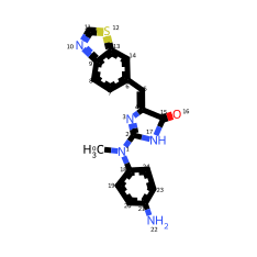 CN(C1=NC(=Cc2ccc3ncsc3c2)C(=O)N1)c1ccc(N)cc1